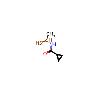 C[SH](S)NC(=O)C1CC1